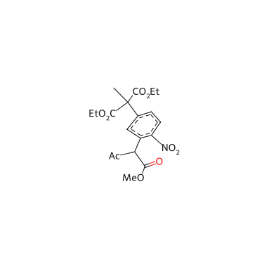 CCOC(=O)C(C)(C(=O)OCC)c1ccc([N+](=O)[O-])c(C(C(C)=O)C(=O)OC)c1